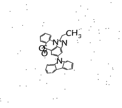 CCc1nc2cc(-n3c4ccccc4c4ccccc43)cc3c2n1-c1ccccc1S3(=O)=O